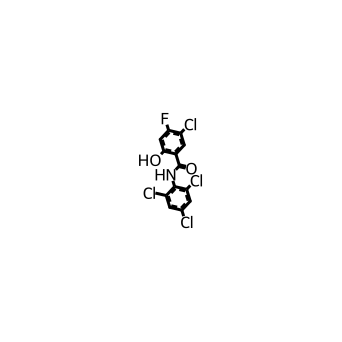 O=C(Nc1c(Cl)cc(Cl)cc1Cl)c1cc(Cl)c(F)cc1O